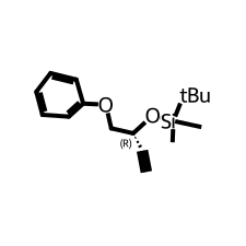 C#C[C@H](COc1ccccc1)O[Si](C)(C)C(C)(C)C